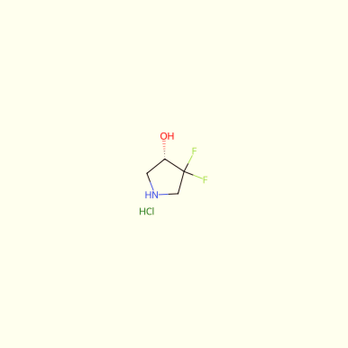 Cl.O[C@H]1CNCC1(F)F